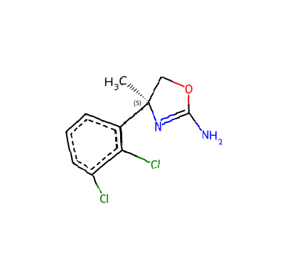 C[C@]1(c2cccc(Cl)c2Cl)COC(N)=N1